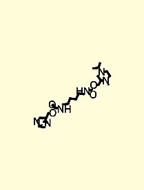 CC(C)N1CCN(C)C(COC(=O)NCCCCCCNC(=O)OCC2CN3CCN2CC3)C1